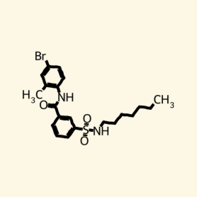 CCCCCCCNS(=O)(=O)c1cccc(C(=O)Nc2ccc(Br)cc2C)c1